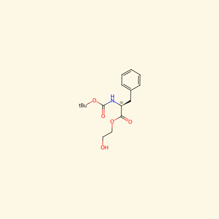 CC(C)(C)OC(=O)N[C@@H](Cc1ccccc1)C(=O)OCCO